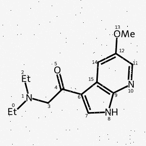 CCN(CC)CC(=O)c1c[nH]c2ncc(OC)cc12